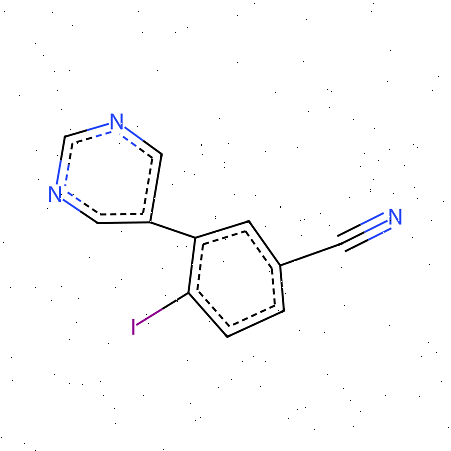 N#Cc1ccc(I)c(-c2cncnc2)c1